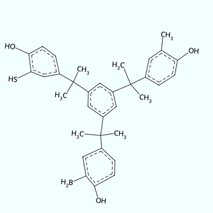 Bc1cc(C(C)(C)c2cc(C(C)(C)c3ccc(O)c(C)c3)cc(C(C)(C)c3ccc(O)c(S)c3)c2)ccc1O